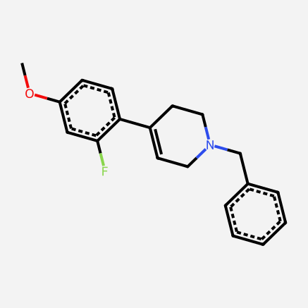 COc1ccc(C2=CCN(Cc3ccccc3)CC2)c(F)c1